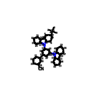 C[Si](C)(C)c1ccc2c(c1)c1ccccc1n2-c1cc(-c2cccc(C#N)c2)cc(-n2c3ccccc3c3ccccc32)c1